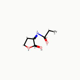 CC(C)CC(=O)/N=C1/CCOC1=O